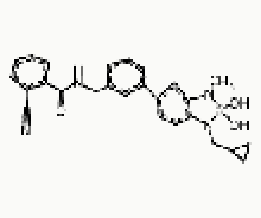 CN1c2cc(-c3cccc(CNC(=O)c4ccccc4C#N)c3)ccc2N(CC2CC2)S1(O)O